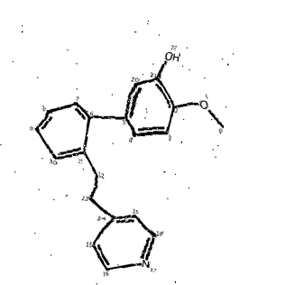 COc1ccc(-c2ccccc2CCc2ccncc2)cc1O